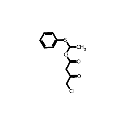 CC(OC(=O)CC(=O)CCl)Sc1ccccc1